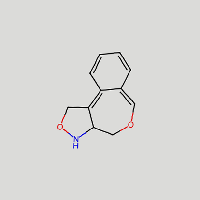 C1=c2ccccc2=C2CONC2CO1